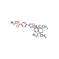 COC(=O)c1ccc(-c2coc(-c3ccc4c(c3)C(C)(C)CCC4(C)C)c2)cc1